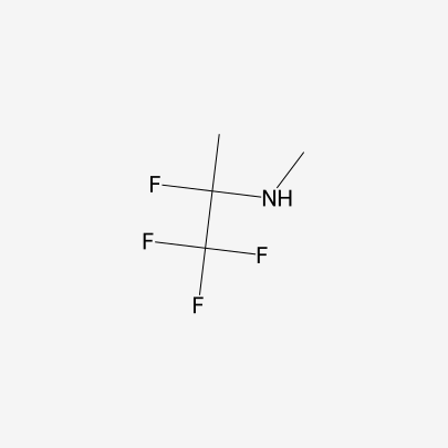 CNC(C)(F)C(F)(F)F